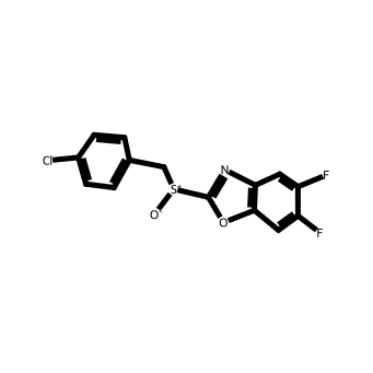 [O-][S+](Cc1ccc(Cl)cc1)c1nc2cc(F)c(F)cc2o1